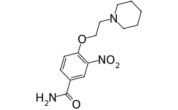 NC(=O)c1ccc(OCCN2CCCCC2)c([N+](=O)[O-])c1